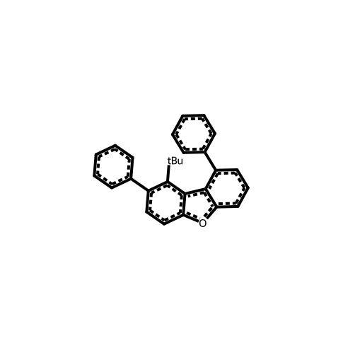 CC(C)(C)c1c(-c2ccccc2)ccc2oc3cccc(-c4ccccc4)c3c12